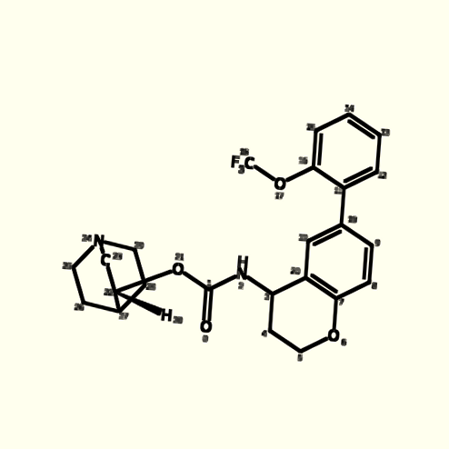 O=C(NC1CCOc2ccc(-c3ccccc3OC(F)(F)F)cc21)O[C@H]1CN2CCC1CC2